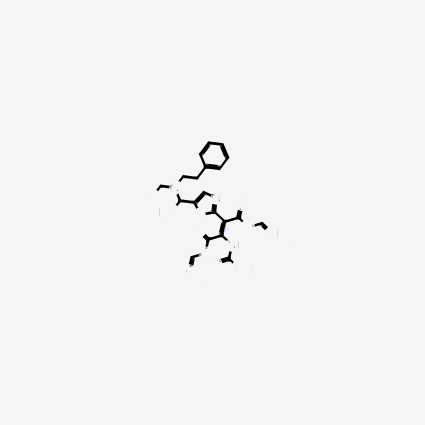 C=COC(=O)/C(NC(=O)O)=C(/C(=O)OC=C)c1ncc(C(C)N(CC)CCc2ccccc2)s1